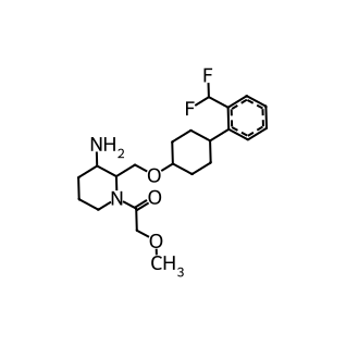 COCC(=O)N1CCCC(N)C1COC1CCC(c2ccccc2C(F)F)CC1